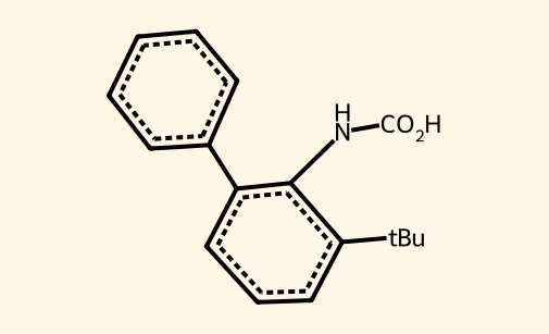 CC(C)(C)c1cccc(-c2ccccc2)c1NC(=O)O